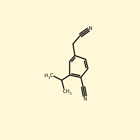 CC(C)c1cc(CC#N)ccc1C#N